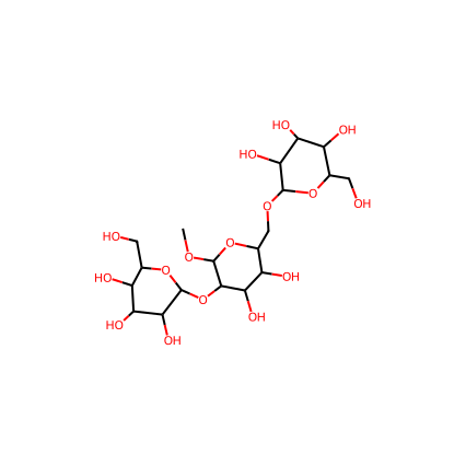 COC1OC(COC2OC(CO)C(O)C(O)C2O)C(O)C(O)C1OC1OC(CO)C(O)C(O)C1O